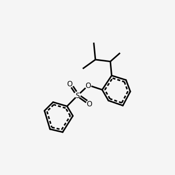 CC(C)C(C)c1ccccc1OS(=O)(=O)c1ccccc1